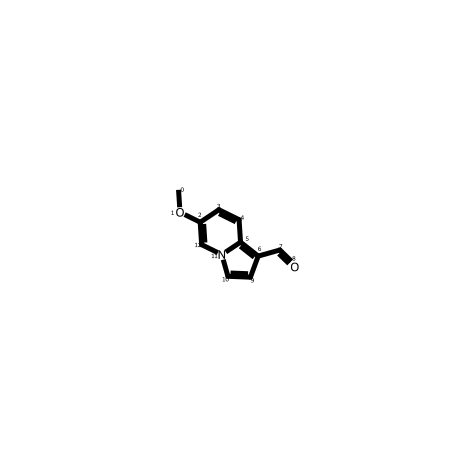 COc1ccc2c(C=O)ccn2c1